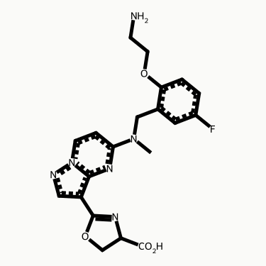 CN(Cc1cc(F)ccc1OCCN)c1ccn2ncc(C3=NC(C(=O)O)CO3)c2n1